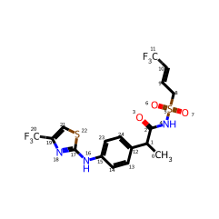 CC(C(=O)NS(=O)(=O)CC=CC(F)(F)F)c1ccc(Nc2nc(C(F)(F)F)cs2)cc1